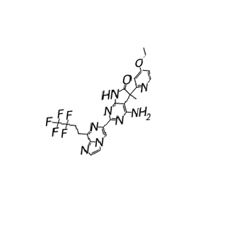 CCOc1ccnc(C2(C)C(=O)Nc3nc(-c4cn5ccnc5c(CCC(F)(F)C(F)(F)F)n4)nc(N)c32)c1